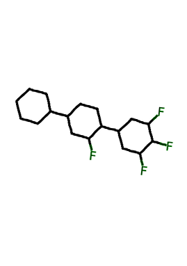 FC1CC(C2CCC(C3CCCCC3)CC2F)CC(F)C1F